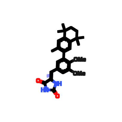 COc1cc(/C=C2\NC(=O)NC2=O)cc(-c2cc3c(cc2C)C(C)(C)CCC3(C)C)c1OC